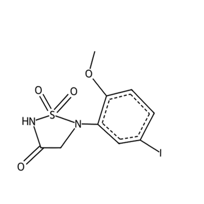 COc1ccc(I)cc1N1CC(=O)NS1(=O)=O